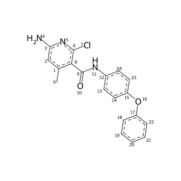 Cc1cc(N)nc(Cl)c1C(=O)Nc1ccc(Oc2ccccc2)cc1